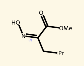 COC(=O)/C(CC(C)C)=N\O